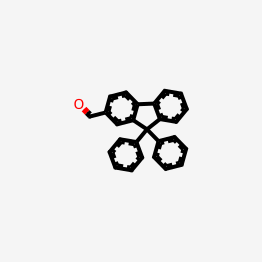 O=Cc1ccc2c(c1)C(c1ccccc1)(c1ccccc1)c1ccccc1-2